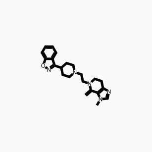 C=C1c2c(ncn2C)CCN1CCN1CCC(c2noc3ccccc23)CC1